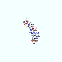 COc1c(Nc2c(C)cc(S(C)(=O)=O)nc2C)ncnc1OC1CCN(C(=O)OC(C)C)CC1